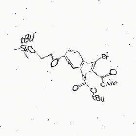 COC(=O)c1c(Br)c2ccc(OCCO[Si](C)(C)C(C)(C)C)cc2n1C(=O)OC(C)(C)C